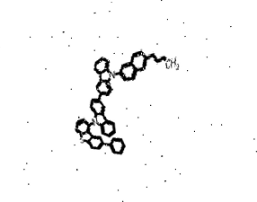 CCCCc1ccc2cc(-n3c4ccccc4c4cc(-c5ccc6c(c5)c5ccccc5n6-c5cccc6sc7ccc(-c8ccccc8)cc7c56)ccc43)ccc2c1